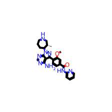 COc1cc(C(=O)Nc2ccccn2)ccc1-c1nn(C2CCCNC[C@@H]2C)c2ncnc(N)c12